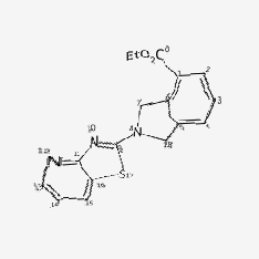 CCOC(=O)c1cccc2c1CN(c1nc3ncccc3s1)C2